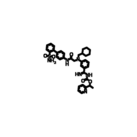 CC(OC(=O)NC(=N)c1cccc(N(CC(=O)Nc2ccc(-c3ccccc3S(N)(=O)=O)cc2)CC2CCCCC2)c1)c1ccccn1